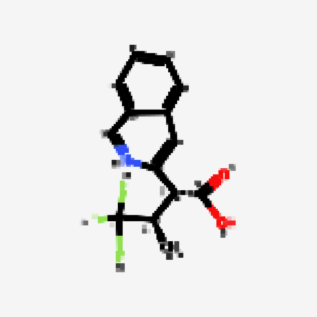 C[C@H]([C@@H](C(=O)O)c1cc2ccccc2cn1)C(F)(F)F